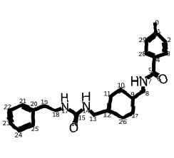 Cc1ccc(C(=O)NCC2CCC(CNC(=O)NCCc3ccccc3)CC2)cc1